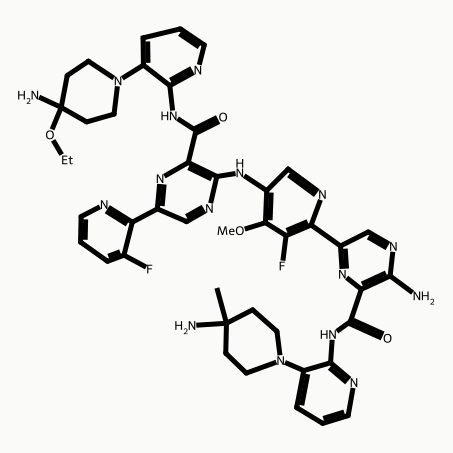 CCOC1(N)CCN(c2cccnc2NC(=O)c2nc(-c3ncccc3F)cnc2Nc2cnc(-c3cnc(N)c(C(=O)Nc4ncccc4N4CCC(C)(N)CC4)n3)c(F)c2OC)CC1